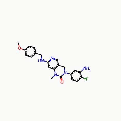 COc1ccc(CNc2cc3c(cn2)CN(c2ccc(F)c(N)c2)C(=O)N3C)cc1